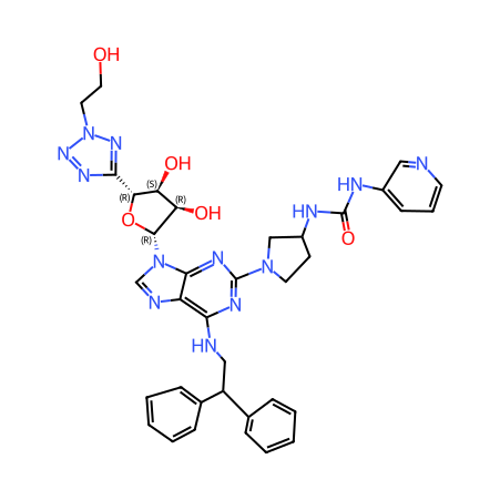 O=C(Nc1cccnc1)NC1CCN(c2nc(NCC(c3ccccc3)c3ccccc3)c3ncn([C@@H]4O[C@H](c5nnn(CCO)n5)[C@@H](O)[C@H]4O)c3n2)C1